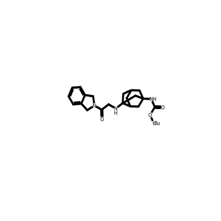 CC(C)(C)OC(=O)NC12CC3CC(C1)C(NCC(=O)N1Cc4ccccc4C1)(C3)C2